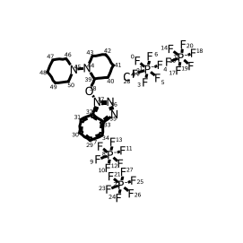 F[P-](F)(F)(F)(F)F.F[P-](F)(F)(F)(F)F.F[P-](F)(F)(F)(F)F.F[P-](F)(F)(F)(F)F.[C+4].c1ccc2c(c1)nnn2OC1CCCCN1N1CCCCC1